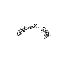 CC(=O)c1c(C)c2cnc(Nc3ccc(N4CCN(C(=O)CCCCSc5cccc6c5C(=O)N(C5CCC(=O)NC5=O)C6=O)CC4)cn3)nc2n(C2CCCC2)c1=O